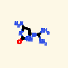 N=C(N)N.Nc1cc[nH]c(=O)n1